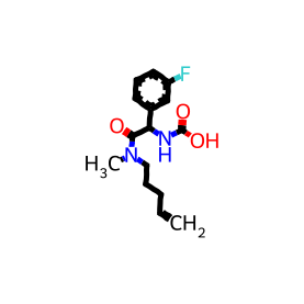 C=CCCCN(C)C(=O)C(NC(=O)O)c1cccc(F)c1